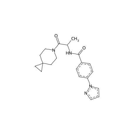 CC(NC(=O)c1ccc(-n2cccn2)cc1)C(=O)N1CCC2(CC1)CC2